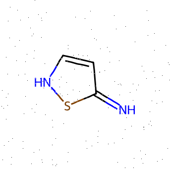 N=c1cc[nH]s1